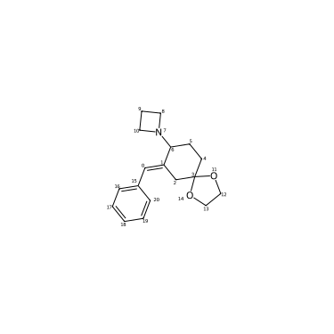 C(=C1CC2(CCC1N1CCC1)OCCO2)c1ccccc1